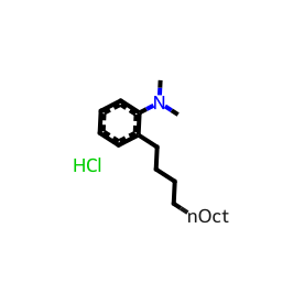 CCCCCCCCCCCCc1ccccc1N(C)C.Cl